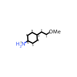 COCCC1CCC(N)CC1